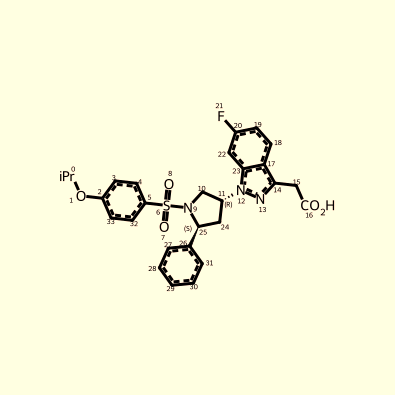 CC(C)Oc1ccc(S(=O)(=O)N2C[C@H](n3nc(CC(=O)O)c4ccc(F)cc43)C[C@H]2c2ccccc2)cc1